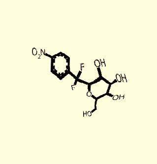 O=[N+]([O-])c1ccc(C(F)(F)C2OC(CO)C(O)C(O)C2O)cc1